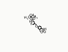 CC(C)(C)OC(=O)NCC(=CF)COc1ccc2c(c1)COC(=O)N2